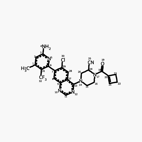 Cc1cc(N)nc(-c2cc3ncnc(N4CCN(C(=O)C5=CCC5)C(C#N)C4)c3cc2Cl)c1C(F)(F)F